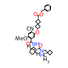 COc1cc(C#N)c(O[C@H]2CC3(C2)C[C@H](C(=O)OCc2ccccc2)C3)cc1C(=O)N[C@@H]1[C@H]2CC[C@H](C2)[C@@H]1C(=O)NCC1(C)CCC1